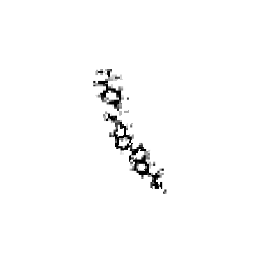 NC(=O)c1ccc2nc(N3CCC4CN(C(=O)Nc5ccc(C(=O)NO)cn5)CC4C3)cnc2c1